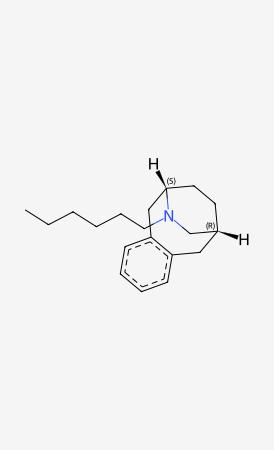 CCCCCCN1C[C@@H]2CC[C@H]1Cc1ccccc1C2